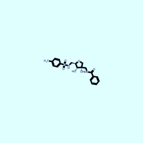 Cc1ccc(S(=O)(=O)NC[C@H]2OC[C@@](O)(CNC(=O)c3ccccc3)[C@@H]2O)cc1